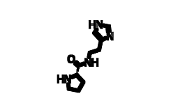 O=C(NCCc1c[nH]cn1)[C@@H]1CCCN1